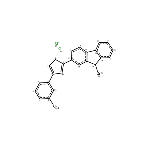 FC(F)(F)c1cccc(C2=CCC(c3ccc4c(c3)[CH]([Zr+2])c3ccccc3-4)=C2)c1.[Cl-].[Cl-]